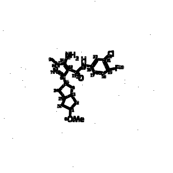 COC1CC2CC(c3nn(C)c(N)c3C(=O)Nc3ccc(F)c(Cl)c3)CC2C1